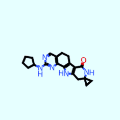 O=C1NC2(CC2)Cc2[nH]c3c(c21)CCc1cnc(NC2CCCC2)nc1-3